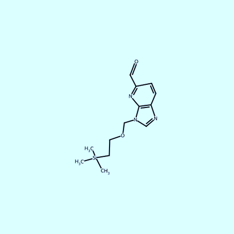 C[Si](C)(C)CCOCn1cnc2ccc(C=O)nc21